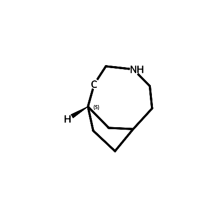 C1CC2CC[C@H](CCN1)C2